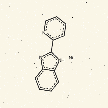 [Ni].c1ccc(-c2nc3ccccc3[nH]2)nc1